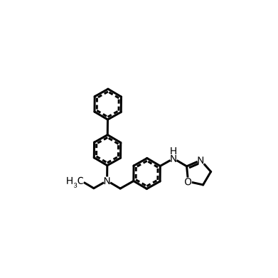 CCN(Cc1ccc(NC2=NCCO2)cc1)c1ccc(-c2ccccc2)cc1